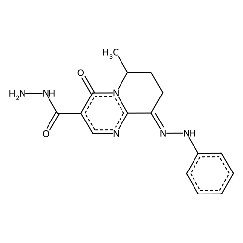 CC1CCC(=NNc2ccccc2)c2ncc(C(=O)NN)c(=O)n21